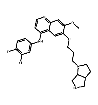 COc1cc2ncnc(Nc3ccc(F)c(Cl)c3)c2cc1OCCCN1CCC2CNCC21